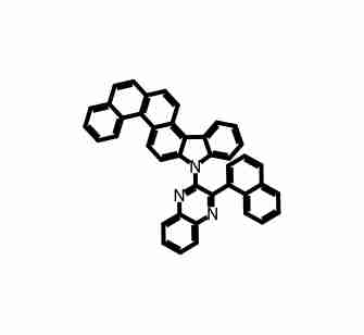 c1ccc2c(-c3nc4ccccc4nc3-n3c4ccccc4c4c5ccc6ccc7ccccc7c6c5ccc43)cccc2c1